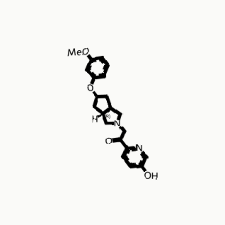 COc1cccc(OC2CC3CN(CC(=O)c4ccc(O)cn4)C[C@@H]3C2)c1